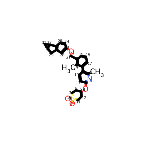 Cc1nc(OC2CCS(=O)(=O)CC2)ccc1-c1cccc(COc2ccc3c(c2)CC2CC32)c1C